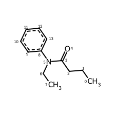 CCCC(=O)N(CC)c1ccccc1